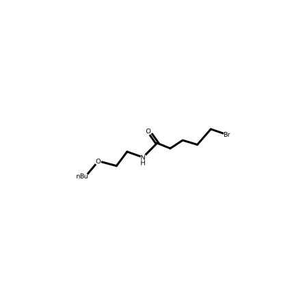 CCCCOCCNC(=O)CCCCBr